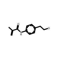 C=C(C)C(=O)Nc1ccc(CC[O])cc1